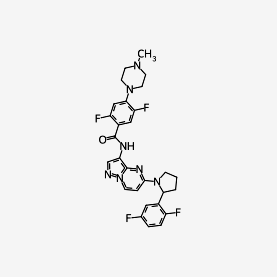 CN1CCN(c2cc(F)c(C(=O)Nc3cnn4ccc(N5CCCC5c5cc(F)ccc5F)nc34)cc2F)CC1